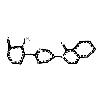 Cn1c(-c2ncc(-n3ccc4ccccc4c3=O)cn2)cncc1=O